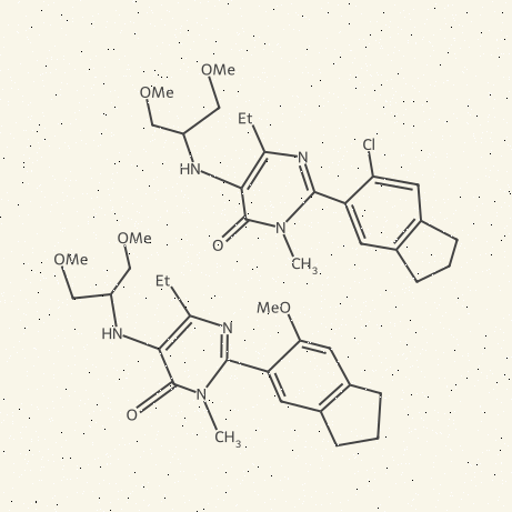 CCc1nc(-c2cc3c(cc2Cl)CCC3)n(C)c(=O)c1NC(COC)COC.CCc1nc(-c2cc3c(cc2OC)CCC3)n(C)c(=O)c1NC(COC)COC